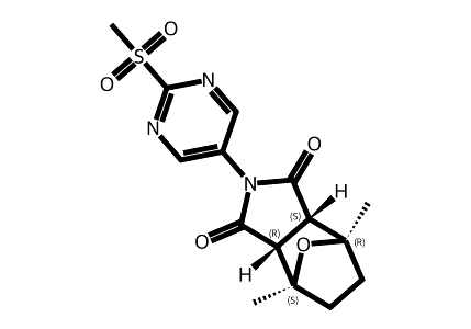 C[C@]12CC[C@](C)(O1)[C@@H]1C(=O)N(c3cnc(S(C)(=O)=O)nc3)C(=O)[C@@H]12